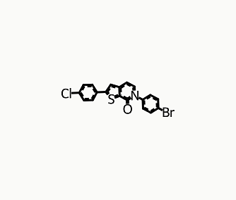 O=c1c2sc(-c3ccc(Cl)cc3)cc2ccn1-c1ccc(Br)cc1